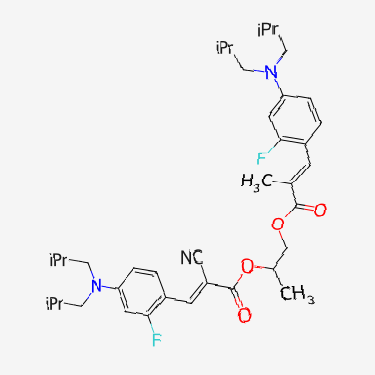 C/C(=C\c1ccc(N(CC(C)C)CC(C)C)cc1F)C(=O)OCC(C)OC(=O)/C(C#N)=C/c1ccc(N(CC(C)C)CC(C)C)cc1F